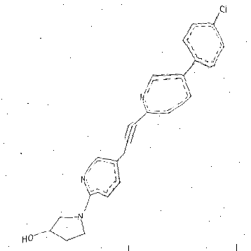 OC1CCN(c2ccc(C#Cc3ccc(-c4ccc(Cl)cc4)cn3)cn2)C1